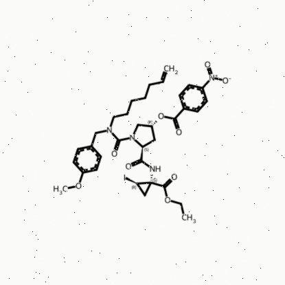 C=CCCCCCN(Cc1ccc(OC)cc1)C(=O)N1C[C@H](OC(=O)c2ccc([N+](=O)[O-])cc2)C[C@H]1C(=O)N[C@]1(C(=O)OCC)C[C@H]1I